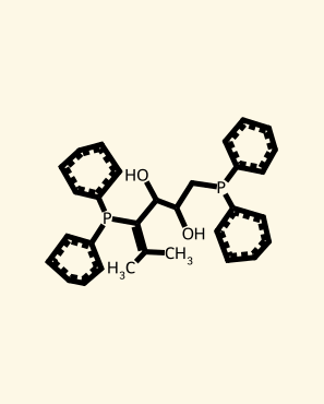 CC(C)=C(C(O)C(O)CP(c1ccccc1)c1ccccc1)P(c1ccccc1)c1ccccc1